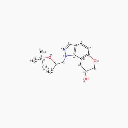 CC(Cn1ncc2ccc3c(c21)CC(O)CO3)O[Si](C)(C)C(C)(C)C